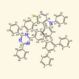 c1ccc(-c2cc(-c3ccccc3)cc(-c3ccc(-c4cccc5sc6ccc7c(c8ccccc8n7-c7ccccc7)c6c45)c(-c4nc(-c5ccccc5)nc(-c5ccccc5)n4)c3)c2)cc1